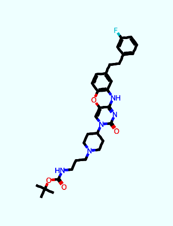 CC(C)(C)OC(=O)NCCCN1CCC(n2cc3c(nc2=O)Nc2cc(CCc4cccc(F)c4)ccc2O3)CC1